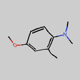 COc1ccc(N(C)C)c(C)c1